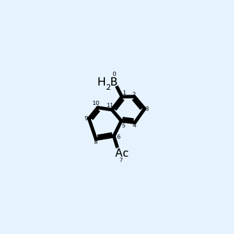 Bc1cccc2c(C(C)=O)cccc12